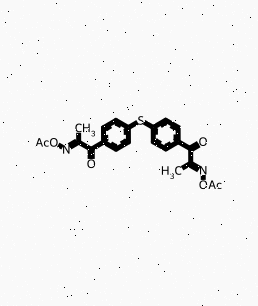 CC(=O)O/N=C(\C)C(=O)c1ccc(Sc2ccc(C(=O)/C(C)=N/OC(C)=O)cc2)cc1